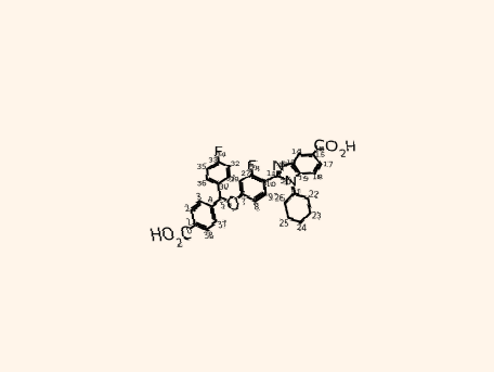 O=C(O)c1ccc(C(Oc2ccc(-c3nc4cc(C(=O)O)ccc4n3C3CCCCC3)c(F)c2)c2ccc(F)cc2)cc1